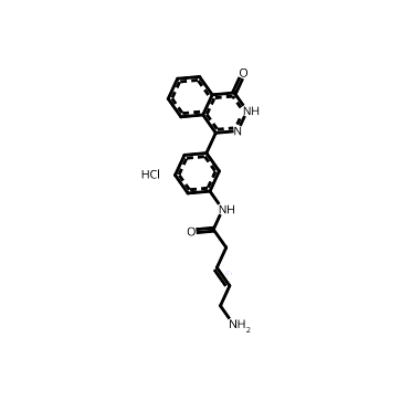 Cl.NC/C=C/CC(=O)Nc1cccc(-c2n[nH]c(=O)c3ccccc23)c1